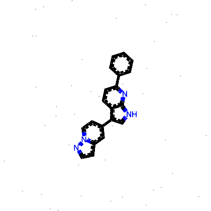 c1ccc(-c2ccc3c(-c4ccn5nccc5c4)c[nH]c3n2)cc1